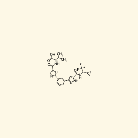 CC(C)[C@H](NC(=O)c1cnc(-c2cccc(-c3cc(C(=O)NC(C4CC4)C(F)(F)F)[nH]n3)c2)o1)C(=O)O